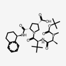 C[C@@H](C(=O)N[C@H](C(=O)N1C[C@@H](C(=O)O)C[C@H]1C(=O)N[C@@H]1CCCc2ccccc21)C(C)(C)C)N(C)C(=O)OC(C)(C)C